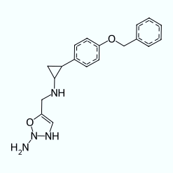 NN1NC=C(CNC2CC2c2ccc(OCc3ccccc3)cc2)O1